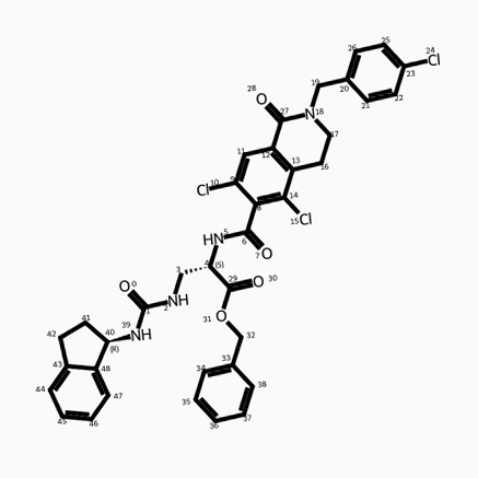 O=C(NC[C@H](NC(=O)c1c(Cl)cc2c(c1Cl)CCN(Cc1ccc(Cl)cc1)C2=O)C(=O)OCc1ccccc1)N[C@@H]1CCc2ccccc21